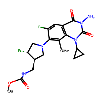 COc1c(N2C[C@@H](CNC(=O)OC(C)(C)C)[C@H](F)C2)c(F)cc2c(=O)n(N)c(=O)n(C3CC3)c12